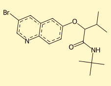 CC(C)C(Oc1ccc2ncc(Br)cc2c1)C(=O)NC(C)(C)C